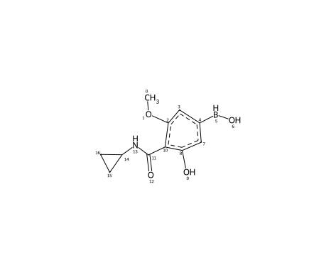 COc1cc(BO)cc(O)c1C(=O)NC1CC1